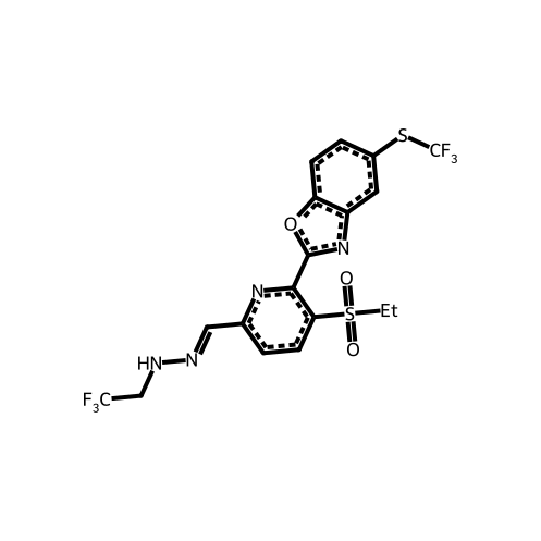 CCS(=O)(=O)c1ccc(/C=N/NCC(F)(F)F)nc1-c1nc2cc(SC(F)(F)F)ccc2o1